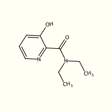 CCN(CC)C(=O)c1ncccc1O